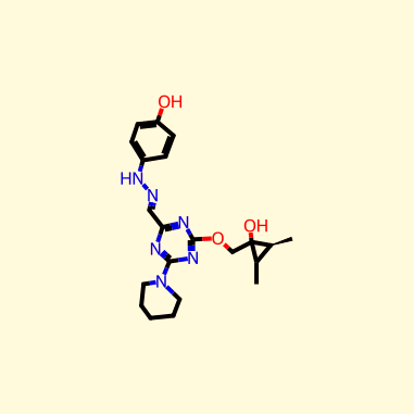 CC1[C@H](C)C1(O)COc1nc(/C=N/Nc2ccc(O)cc2)nc(N2CCCCC2)n1